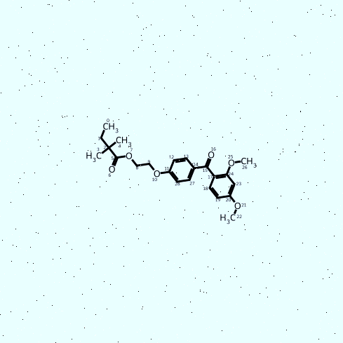 CCC(C)(C)C(=O)OCCOc1ccc(C(=O)c2ccc(OC)cc2OC)cc1